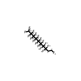 FCCC(F)(F)C(F)(F)C(F)(F)C(F)(F)C(F)(F)C(F)(F)C(F)(F)C(F)F